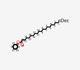 CCCCCCCCCCCCCCCCCCCCCCCCCC/C=C/C(=O)Oc1ccccc1